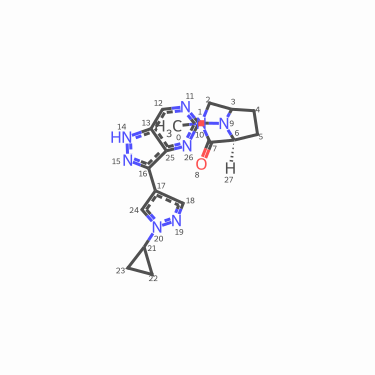 CN1CC2CC[C@@H](C1=O)N2c1ncc2[nH]nc(-c3cnn(C4CC4)c3)c2n1